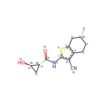 C[C@@H]1CCc2c(sc(NC(=O)[C@@H]3C[C@H]3O)c2C#N)C1